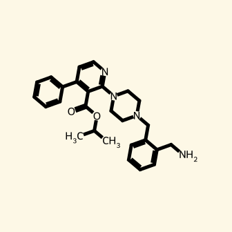 CC(C)OC(=O)c1c(-c2ccccc2)ccnc1N1CCN(Cc2ccccc2CN)CC1